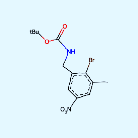 Cc1cc([N+](=O)[O-])cc(CNC(=O)OC(C)(C)C)c1Br